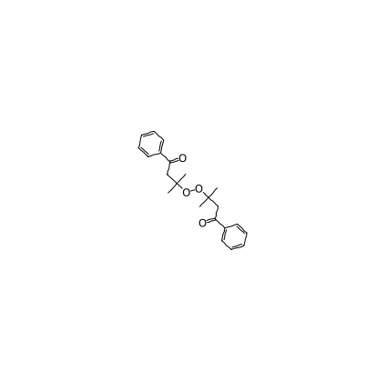 CC(C)(CC(=O)c1ccccc1)OOC(C)(C)CC(=O)c1ccccc1